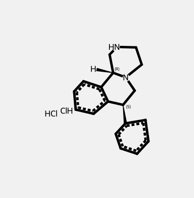 Cl.Cl.c1ccc([C@@H]2CN3CCNC[C@H]3c3ccccc32)cc1